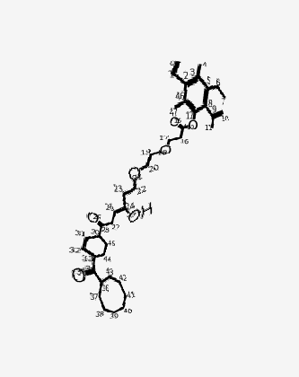 C=Cc1c(C)c(CC)c(C(=C)C)c(OC(=O)CCOCCOCCC(O)CCC(=O)C2CCC(C(=O)C3CCCCCCC3)CC2)c1C